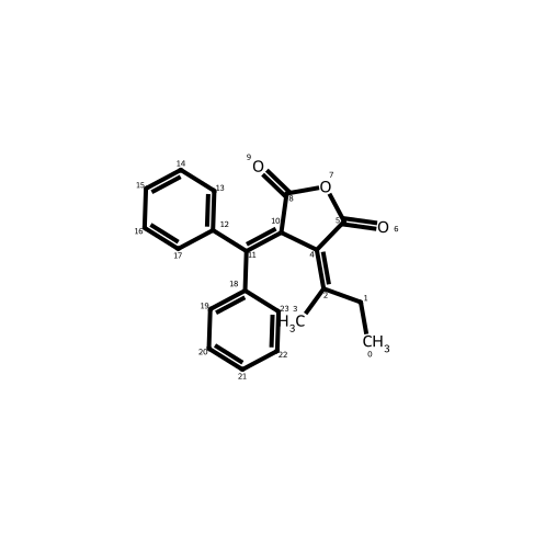 CC/C(C)=C1\C(=O)OC(=O)C1=C(c1ccccc1)c1ccccc1